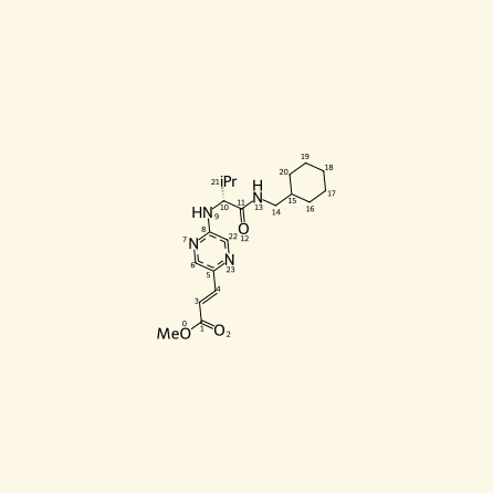 COC(=O)/C=C/c1cnc(N[C@@H](C(=O)NCC2CCCCC2)C(C)C)cn1